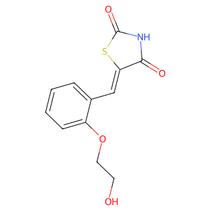 O=C1NC(=O)/C(=C/c2ccccc2OCCO)S1